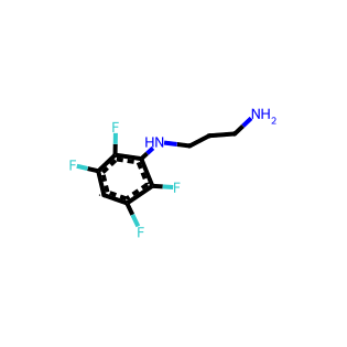 NCCCNc1c(F)c(F)[c]c(F)c1F